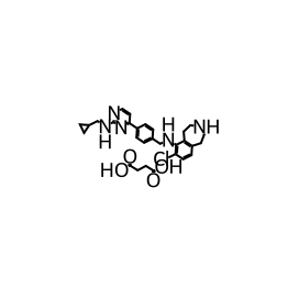 Clc1ccc2c(c1NCc1ccc(-c3ccnc(NCC4CC4)n3)cc1)CCNCC2.O=C(O)CCC(=O)O